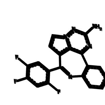 Nc1nc2c3c(ccn3n1)C(c1cc(F)c(F)cc1F)=Nc1ccccc1-2